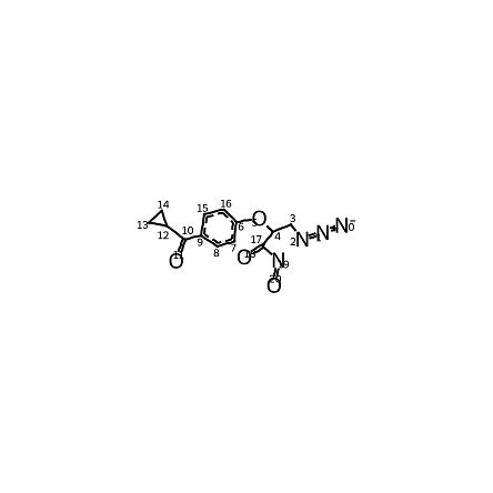 [N-]=[N+]=NCC(Oc1ccc(C(=O)C2CC2)cc1)C(=O)N=O